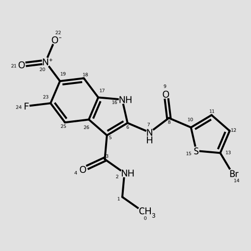 CCNC(=O)c1c(NC(=O)c2ccc(Br)s2)[nH]c2cc([N+](=O)[O-])c(F)cc12